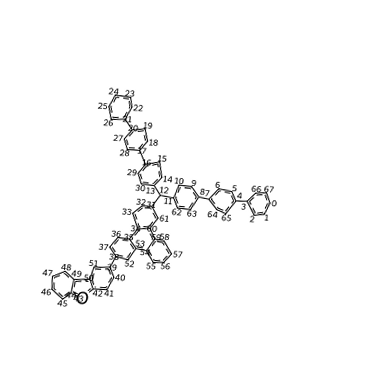 c1ccc(-c2ccc(-c3ccc(C(c4ccc(-c5ccc(-c6ccccc6)cc5)cc4)c4ccc5c6ccc(-c7ccc8oc9ccccc9c8c7)cc6c6ccccc6c5c4)cc3)cc2)cc1